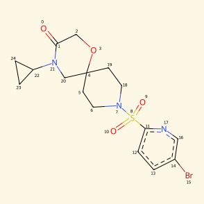 O=C1COC2(CCN(S(=O)(=O)c3ccc(Br)cn3)CC2)CN1C1CC1